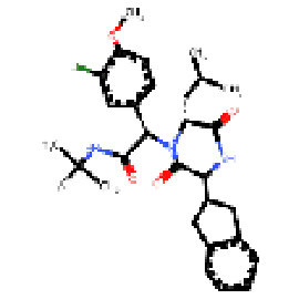 COc1ccc([C@H](C(=O)NC(C)(C)C)N2C(=O)C(C3Cc4ccccc4C3)NC(=O)[C@H]2CC(C)C)cc1Cl